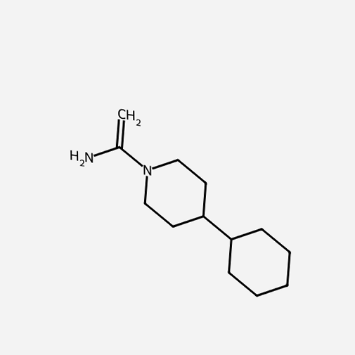 C=C(N)N1CCC(C2CCCCC2)CC1